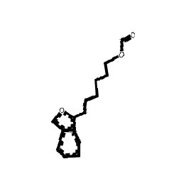 O=[C]OCCCCCCc1occ2ccccc12